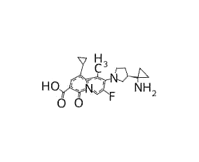 Cc1c(N2CC[C@@H](C3(N)CC3)C2)c(F)cn2c(=O)c(C(=O)O)cc(C3CC3)c12